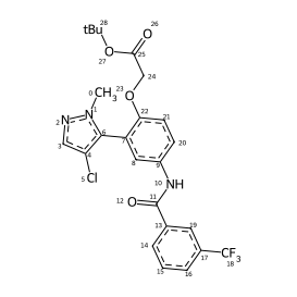 Cn1ncc(Cl)c1-c1cc(NC(=O)c2cccc(C(F)(F)F)c2)ccc1OCC(=O)OC(C)(C)C